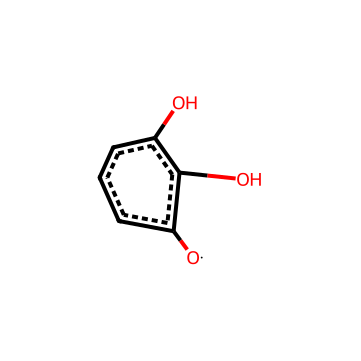 [O]c1cccc(O)c1O